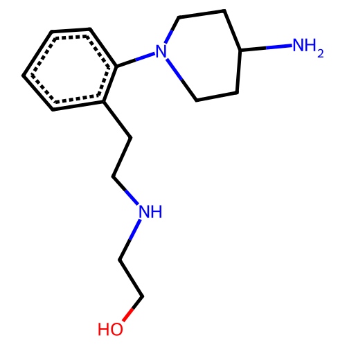 NC1CCN(c2ccccc2CCNCCO)CC1